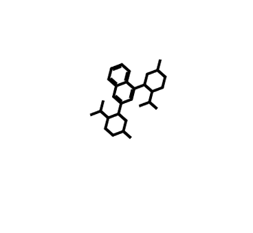 CC1CCC(C(C)C)C(c2cc(C3CC(C)CCC3C(C)C)c3ccccc3c2)C1